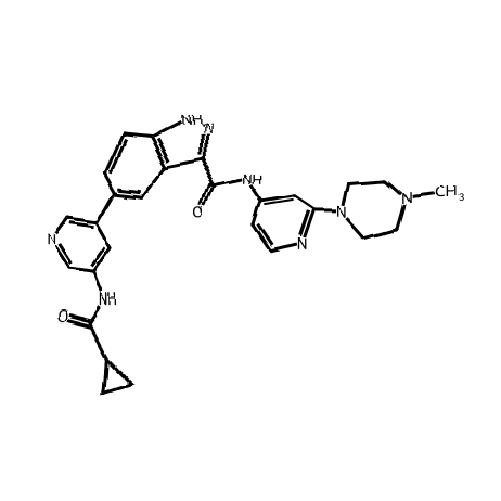 CN1CCN(c2cc(NC(=O)c3n[nH]c4ccc(-c5cncc(NC(=O)C6CC6)c5)cc34)ccn2)CC1